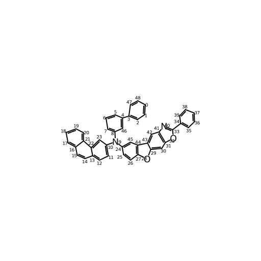 c1ccc(-c2cccc(N(c3ccc4ccc5ccccc5c4c3)c3ccc4oc5cc6oc(-c7ccccc7)nc6cc5c4c3)c2)cc1